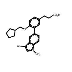 CC(=O)c1cn(C)c2ccc(-c3cc(CCC(=O)O)ccc3OCC3CCCC3)cc12